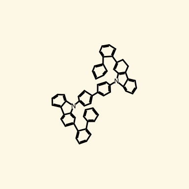 C1=C(c2ccccc2-c2ccccc2)CCc2c1n(-c1ccc(-c3ccc(-n4c5ccccc5c5ccc(-c6ccccc6-c6ccccc6)cc54)cc3)cc1)c1ccccc21